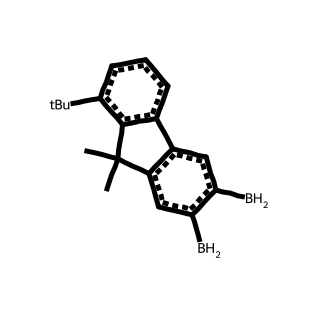 Bc1cc2c(cc1B)C(C)(C)c1c-2cccc1C(C)(C)C